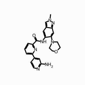 Cn1cc2cc(NC(=O)c3cccc(-c4ccnc(N)c4)n3)c(N3CCOCC3)cc2n1